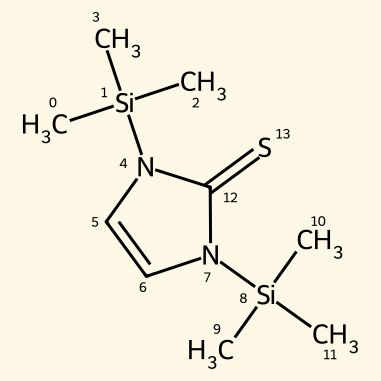 C[Si](C)(C)n1ccn([Si](C)(C)C)c1=S